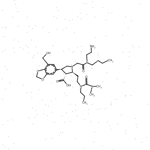 CCCCN(CCN)C(=O)CN1C[C@H](c2cc(CO)c3c(c2)OCO3)[C@@H](C(=O)O)[C@@H]1CCN(CCC)C(=O)N(C)C